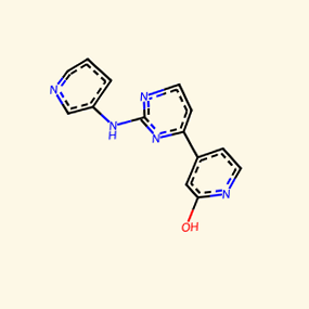 Oc1cc(-c2ccnc(Nc3cccnc3)n2)ccn1